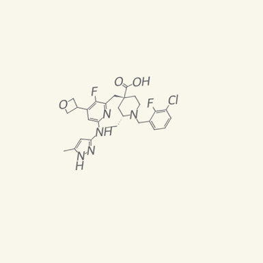 CC[C@@H]1C[C@](Cc2nc(Nc3cc(C)[nH]n3)cc(C3COC3)c2F)(C(=O)O)CCN1Cc1cccc(Cl)c1F